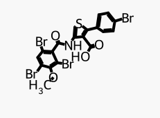 COc1c(Br)cc(Br)c(C(=O)Nc2csc(-c3ccc(Br)cc3)c2C(=O)O)c1Br